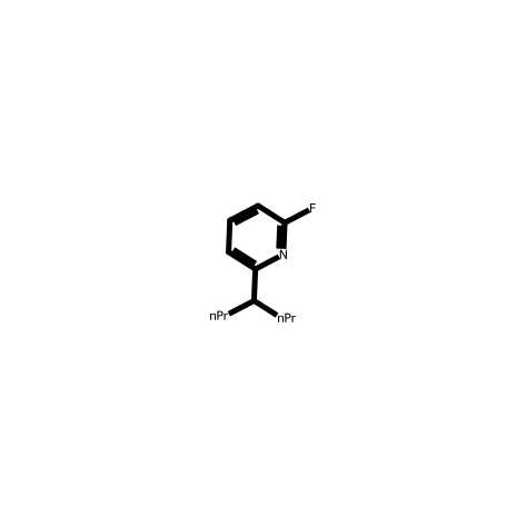 CCCC(CCC)c1cccc(F)n1